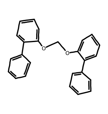 c1ccc(-c2ccccc2OCOc2ccccc2-c2ccccc2)cc1